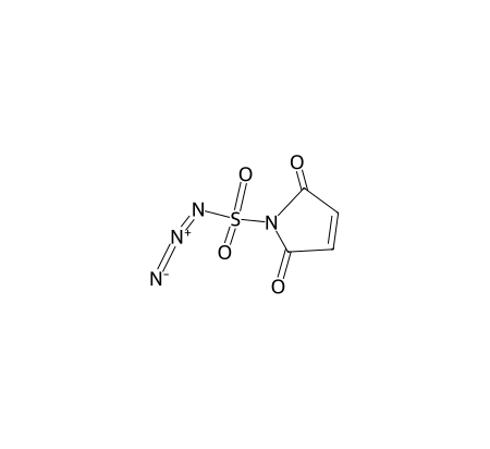 [N-]=[N+]=NS(=O)(=O)N1C(=O)C=CC1=O